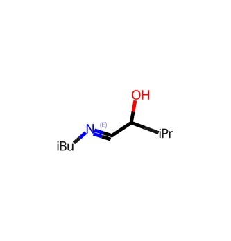 CCC(C)/N=C/C(O)C(C)C